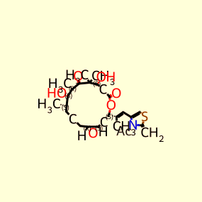 C=C1SC=C(C=C(C)[C@@H]2C[C@@H]3O[C@@H]3CCC[C@H](C)[C@H](O)[C@@H](C)C(=O)C(C)(C)[C@@H](O)CC(=O)O2)N1C(C)=O